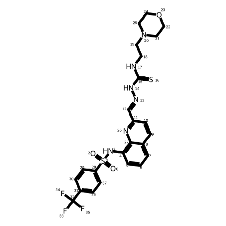 O=S(=O)(Nc1cccc2ccc(/C=N/NC(=S)NCCN3CCOCC3)nc12)c1ccc(C(F)(F)F)cc1